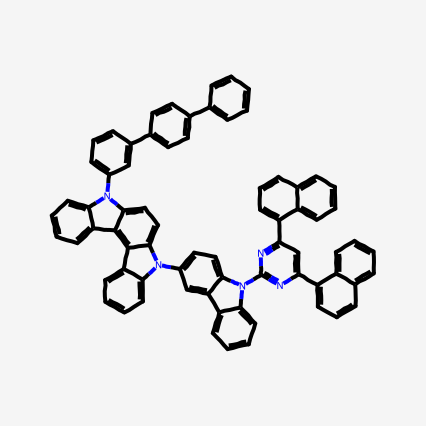 c1ccc(-c2ccc(-c3cccc(-n4c5ccccc5c5c6c7ccccc7n(-c7ccc8c(c7)c7ccccc7n8-c7nc(-c8cccc9ccccc89)cc(-c8cccc9ccccc89)n7)c6ccc54)c3)cc2)cc1